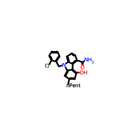 CCCCCc1cc(O)c2c3c(C(N)=O)cccc3n(Cc3ccccc3Cl)c2c1